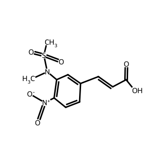 CN(c1cc(C=CC(=O)O)ccc1[N+](=O)[O-])S(C)(=O)=O